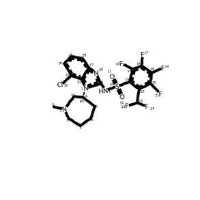 CN1CCCC[C@@H](n2c(NS(=O)(=O)c3c(F)c(F)c(F)c(F)c3C(F)F)nc3cccc(Cl)c32)C1